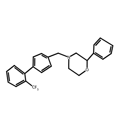 FC(F)(F)c1ccccc1-c1ccc(CN2CCOC(c3ccccc3)C2)cc1